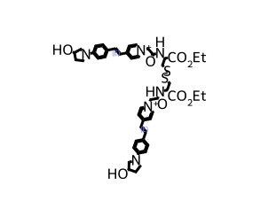 CCOC(=O)C(CSSCC(NC(=O)C[n+]1ccc(/C=C/c2ccc(N3CCC(O)C3)cc2)cc1)C(=O)OCC)NC(=O)C[n+]1ccc(/C=C/c2ccc(N3CCC(O)C3)cc2)cc1